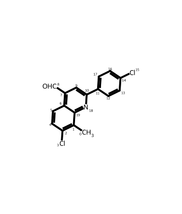 Cc1c(Cl)ccc2c(C=O)cc(-c3ccc(Cl)cc3)nc12